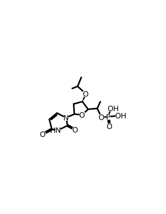 CC(C)O[C@@H]1CC(n2ccc(=O)[nH]c2=O)OC1C(C)OP(=O)(O)O